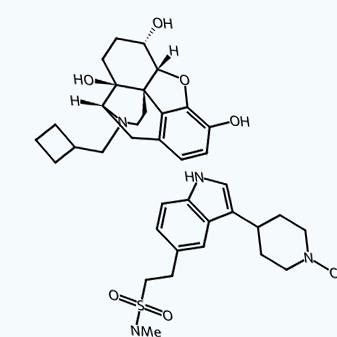 CNS(=O)(=O)CCc1ccc2[nH]cc(C3CCN(C)CC3)c2c1.Oc1ccc2c3c1O[C@H]1[C@@H](O)CC[C@@]4(O)[C@@H](C2)N(CC2CCC2)CC[C@]314